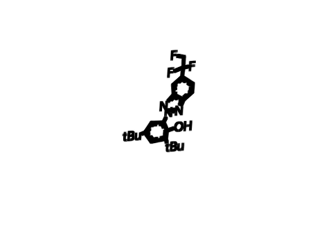 CC(C)(C)c1cc(-n2nc3ccc(C(F)(F)CF)cc3n2)c(O)c(C(C)(C)C)c1